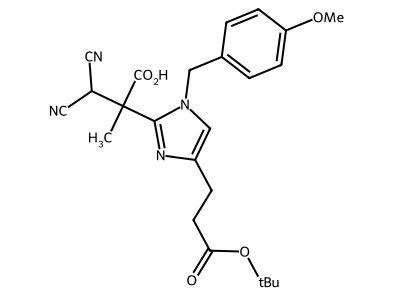 COc1ccc(Cn2cc(CCC(=O)OC(C)(C)C)nc2C(C)(C(=O)O)C(C#N)C#N)cc1